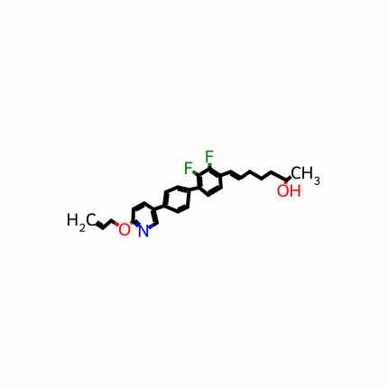 C=CCOc1ccc(-c2ccc(-c3ccc(C=CCCCC(C)O)c(F)c3F)cc2)cn1